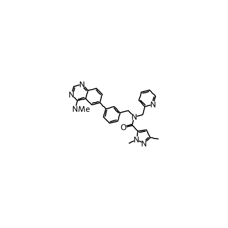 CNc1ncnc2ccc(-c3cccc(CN(Cc4ccccn4)C(=O)c4cc(C)nn4C)c3)cc12